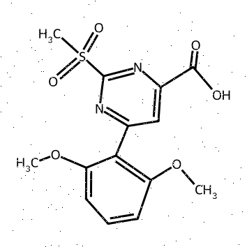 COc1cccc(OC)c1-c1cc(C(=O)O)nc(S(C)(=O)=O)n1